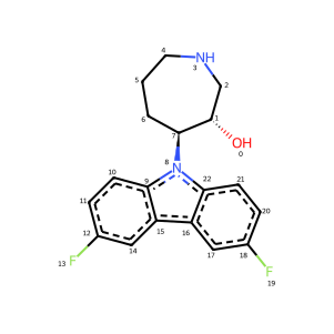 O[C@H]1CNCCC[C@@H]1n1c2ccc(F)cc2c2cc(F)ccc21